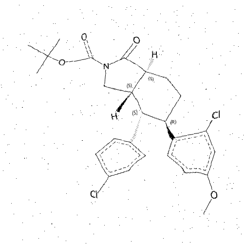 COc1ccc([C@@H]2CC[C@@H]3C(=O)N(C(=O)OC(C)(C)C)C[C@H]3[C@H]2c2ccc(Cl)cc2)c(Cl)c1